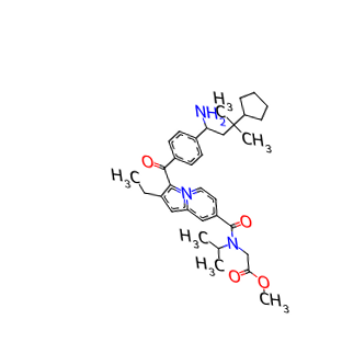 CCc1cc2cc(C(=O)N(CC(=O)OC)C(C)C)ccn2c1C(=O)c1ccc(C(N)CC(C)(C)C2CCCC2)cc1